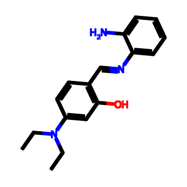 CCN(CC)c1ccc(C=Nc2ccccc2N)c(O)c1